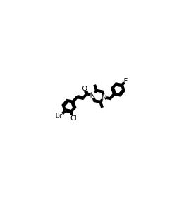 CC1CN(C(=O)/C=C/c2ccc(Br)c(Cl)c2)C(C)CN1Cc1ccc(F)cc1